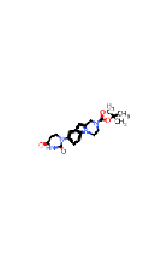 CC(C)(C)OC(=O)N1CCn2c(cc3cc(N4CCC(=O)NC4=O)ccc32)C1